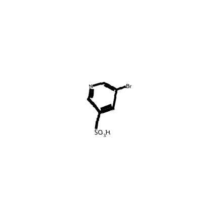 O=S(=O)(O)c1cncc(Br)c1